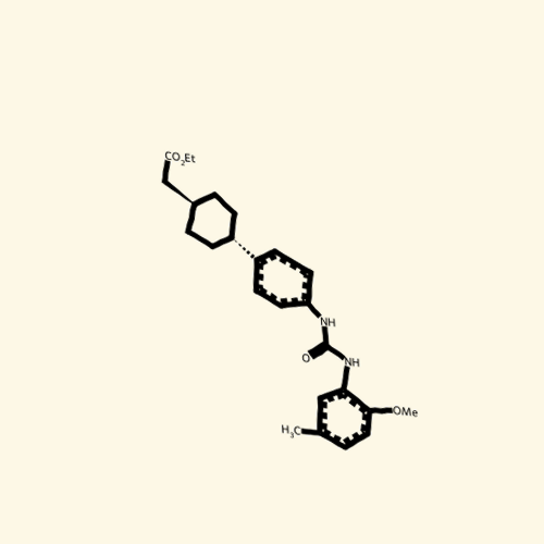 CCOC(=O)C[C@H]1CC[C@H](c2ccc(NC(=O)Nc3cc(C)ccc3OC)cc2)CC1